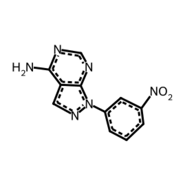 Nc1ncnc2c1cnn2-c1cccc([N+](=O)[O-])c1